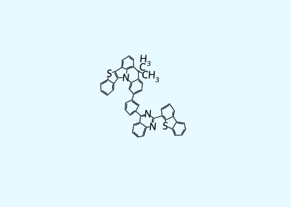 CC1(C)c2ccc(-c3cccc(-c4nc(-c5cccc6c5sc5ccccc56)nc5ccccc45)c3)cc2-n2c3c1cccc3c1sc3ccccc3c12